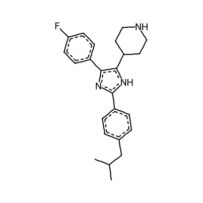 CC(C)Cc1ccc(-c2nc(-c3ccc(F)cc3)c(C3CCNCC3)[nH]2)cc1